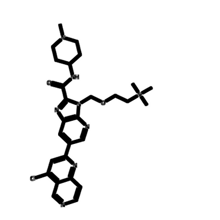 CN1CCC(NC(=O)c2nc3cc(-c4cc(Cl)c5cnccc5n4)cnc3n2COCC[Si](C)(C)C)CC1